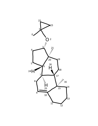 CC1(O[C@H]2CC[C@H]3[C@@H]4CC=C5CCCC[C@]5(C)[C@H]4CC[C@]23C)CC1